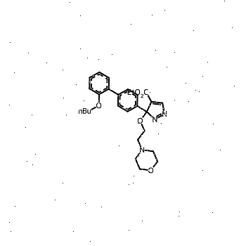 CCCCOc1ccccc1-c1ccc(C2(OCCN3CCOCC3)N=NC=C2C(=O)OCC)cc1